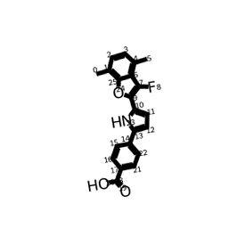 Cc1ccc(C)c2c(F)c(-c3ccc(-c4ccc(C(=O)O)cc4)[nH]3)oc12